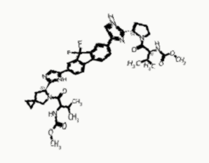 COC(=O)NC(C(=O)N1CC2(CC2)C[C@H]1c1ncc(-c2ccc3c(c2)C(F)(F)c2cc(-c4c[nH]c([C@@H]5CCCN5C(=O)[C@@H](NC(=O)OC)C(C)C)n4)ccc2-3)[nH]1)C(C)C